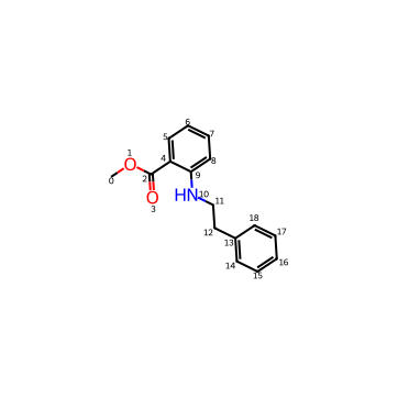 COC(=O)c1ccccc1NCCc1ccccc1